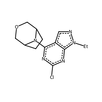 CCn1ncc2c(N3C4CCC3COC4)nc(Cl)nc21